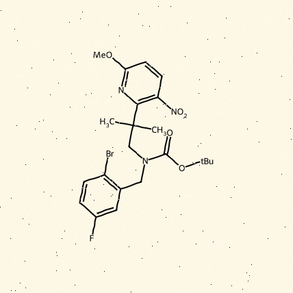 COc1ccc([N+](=O)[O-])c(C(C)(C)CN(Cc2cc(F)ccc2Br)C(=O)OC(C)(C)C)n1